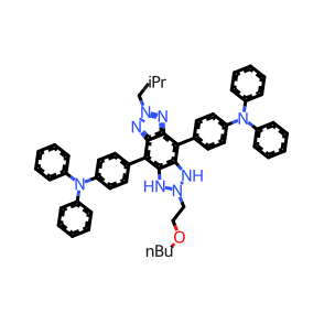 CCCCOCCN1Nc2c(c(-c3ccc(N(c4ccccc4)c4ccccc4)cc3)c3nn(CC(C)C)nc3c2-c2ccc(N(c3ccccc3)c3ccccc3)cc2)N1